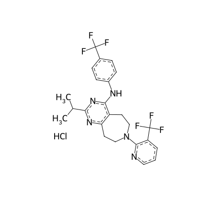 CC(C)c1nc2c(c(Nc3ccc(C(F)(F)F)cc3)n1)CCN(c1ncccc1C(F)(F)F)CC2.Cl